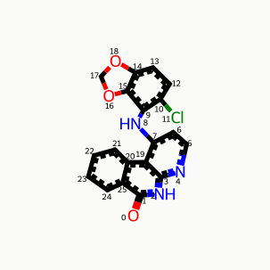 O=c1[nH]c2nccc(Nc3c(Cl)ccc4c3OCO4)c2c2ccccc12